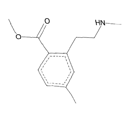 CNCCc1cc(C)ccc1C(=O)OC